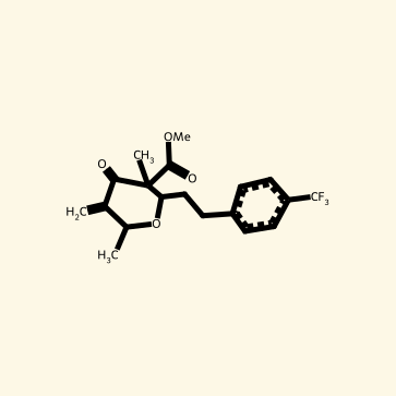 C=C1C(=O)C(C)(C(=O)OC)C(CCc2ccc(C(F)(F)F)cc2)OC1C